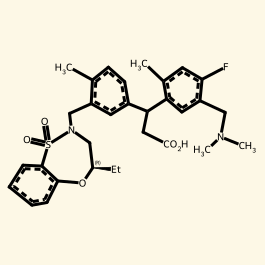 CC[C@@H]1CN(Cc2cc(C(CC(=O)O)c3cc(CN(C)C)c(F)cc3C)ccc2C)S(=O)(=O)c2ccccc2O1